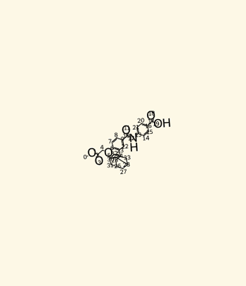 COC(=O)COc1ccc(C(=O)Nc2ccc(C(=O)O)cc2)cc1C12CC3CC(CC(C3)C1)C2